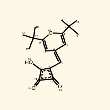 CC(C)(C)C1=CC(=Cc2c(O)c(=O)c2=O)C=C(C(C)(C)C)O1